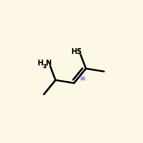 C/C(S)=C/C(C)N